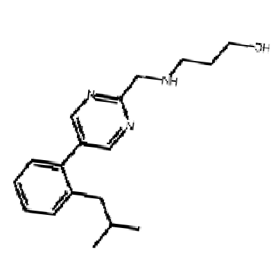 CC(C)Cc1ccccc1-c1cnc(CNCCCO)nc1